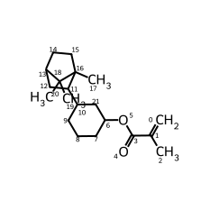 C=C(C)C(=O)OC1CCCC(C2CC3CCC2(C)C3(C)C)C1